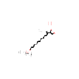 CC(=O)OC(CCCCCCCCCCCO[Si](C)(C)C(C)(C)C)C1=CC(=O)OC1O